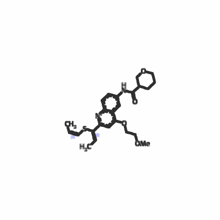 C/C=C\S/C(=C\C)c1cc(OCCOC)c2cc(NC(=O)C3CCCOC3)ccc2n1